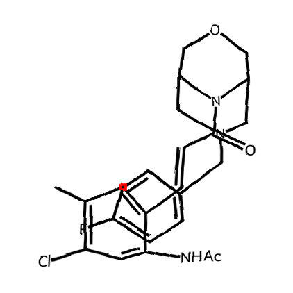 CC(=O)Nc1cc(Cl)c(C)cc1C=CC(=O)N1C2COCC1CN(Cc1ccc(F)cc1)C2